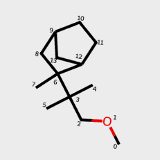 COCC(C)(C)C1(C)CC2CCC1C2